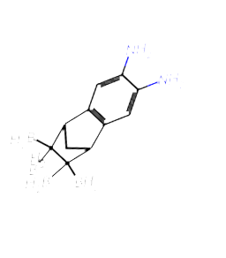 BC1(B)C2CC(c3cc(N)c(N)cc32)C1(B)B